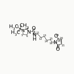 CC(C)(C)[C@@H]1CCN(C(=O)NCCCCCCN2C(=O)C=CC2=O)C1